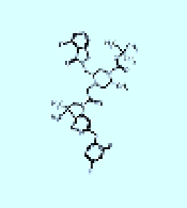 C[C@@H]1CN(CC(=O)N2CC(C)(C)c3nnc(Cc4ccc(F)cc4F)cc32)[C@@H](CN2Cc3cccc(F)c3C2=O)CN1C(=O)OC(C)(C)C